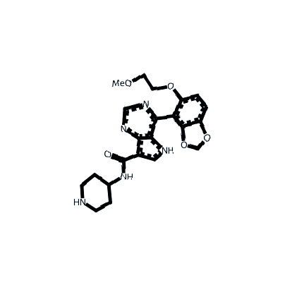 COCCOc1ccc2c(c1-c1ncnc3c(C(=O)NC4CCNCC4)c[nH]c13)OCO2